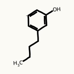 CCCCc1c[c]cc(O)c1